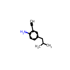 C#Cc1cc(CC(C)C)ccc1N